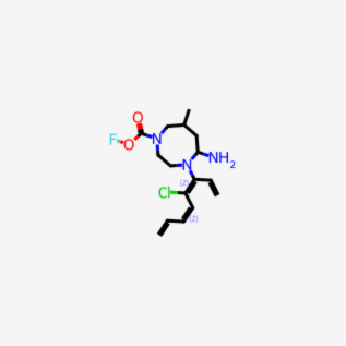 C=C/C=C\C(Cl)=C(/C=C)N1CCN(C(=O)OF)CC(C)CC1N